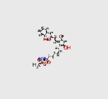 CS(=O)(=O)NC(=O)CCC/C=C\C[C@H]1[C@@H](O)CC(=O)[C@@H]1/C=C/[C@@H](O)Cc1ccccc1